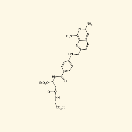 CCOC(=O)CN[S+]([O-])CC(NC(=O)c1ccc(NCc2cnc3nc(N)nc(N)c3n2)cc1)C(=O)OCC